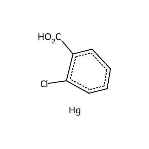 O=C(O)c1ccccc1Cl.[Hg]